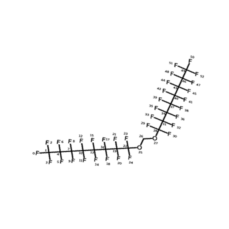 FC(F)(F)C(F)(F)C(F)(F)C(F)(F)C(F)(F)C(F)(F)C(F)(F)C(F)(F)OCOC(F)(F)C(F)(F)C(F)(F)C(F)(F)C(F)(F)C(F)(F)C(F)(F)C(F)(F)F